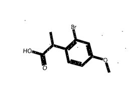 COc1ccc(C(C)C(=O)O)c(Br)c1